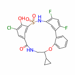 O=C1NCC(C2CC2)Oc2ccccc2-c2cc(c(F)cc2F)NS(=O)(=O)c2cc1cc(Cl)c2O